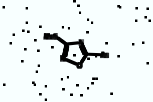 CSc1noc(C(C)=O)n1